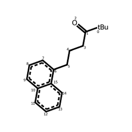 CC(C)(C)C(=O)C[CH]Cc1cccc2ccccc12